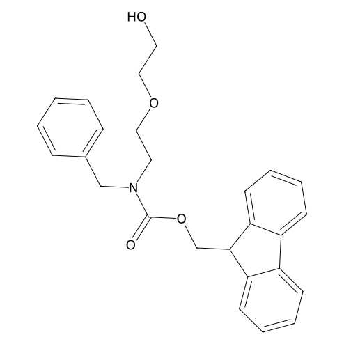 O=C(OCC1c2ccccc2-c2ccccc21)N(CCOCCO)Cc1ccccc1